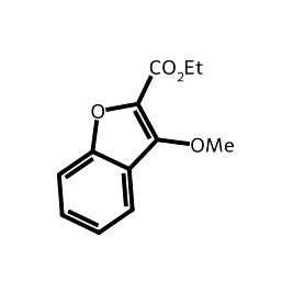 CCOC(=O)c1oc2ccccc2c1OC